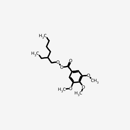 CCCCC([CH]OOC(=O)c1cc(OC)c(OC)c(OC)c1)CC